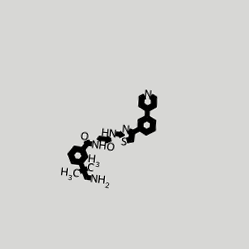 CC(C)(CN)c1cccc(C(=O)NCC(=O)Nc2nc(-c3cccc(-c4ccncc4)c3)cs2)c1